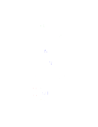 CC(c1cc(Cl)cc(Cl)c1)N1CCN(Cc2cc(F)c(C(=O)NS(C)(=O)=O)cc2C2CC2)CC1